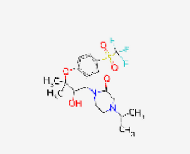 CC(C)N1CCN(C2c3cc(S(=O)(=O)C(F)(F)F)ccc3OC(C)(C)C2O)C(=O)C1